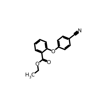 CCOC(=O)c1ccccc1Oc1ccc(C#N)cc1